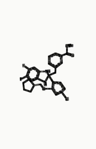 COC(=O)c1cccc(CC2(c3ccc(Cl)cc3OCC3CCCC3)Nc3cc(F)c(F)cc3N2)c1